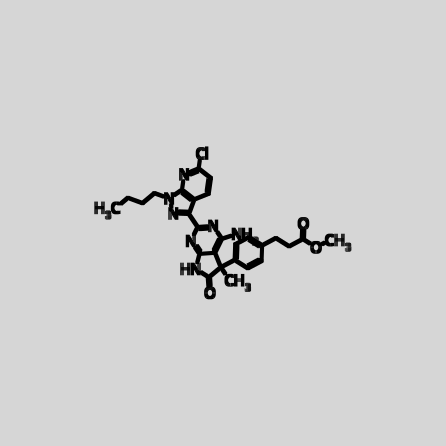 CCCCn1nc(-c2nc(N)c3c(n2)NC(=O)C3(C)c2ccc(CCC(=O)OC)cc2)c2ccc(Cl)nc21